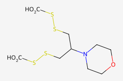 O=C(O)SSCC(CSSC(=O)O)N1CCOCC1